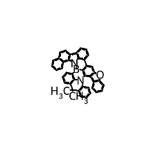 CC1(C)c2ccccc2N2c3c(cccc31)B1c3c(cc4oc5ccccc5c4c32)-c2cccc3c4ccc5ccccc5c4n1c23